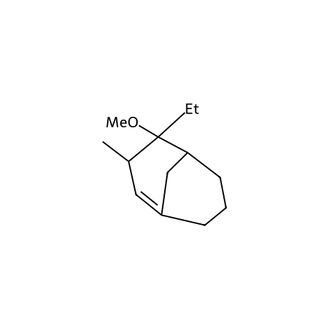 CCC1(OC)C(C)C=C2CCCC1C2